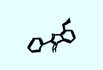 C=Cc1cccc2[nH]c(-c3ccccc3)nc12